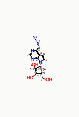 C[C@@]1(O)[C@H](O)[C@@H](CO)O[C@H]1n1ccc2c(N=[N+]=[N-])ncnc21